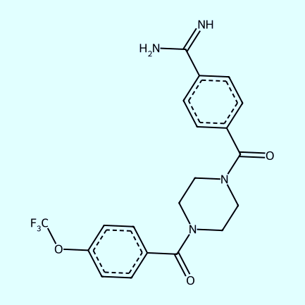 N=C(N)c1ccc(C(=O)N2CCN(C(=O)c3ccc(OC(F)(F)F)cc3)CC2)cc1